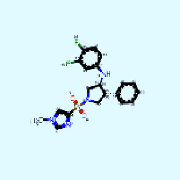 Cn1cnc(S(=O)(=O)N2C[C@@H](Nc3ccc(F)c(F)c3)[C@H](c3ccccc3)C2)c1